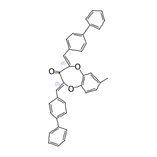 Cc1ccc2c(c1)O/C(=C\c1ccc(-c3ccccc3)cc1)C(=O)/C(=C/c1ccc(-c3ccccc3)cc1)O2